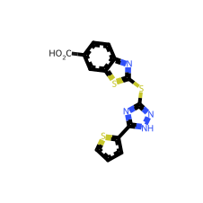 O=C(O)c1ccc2nc(Sc3n[nH]c(-c4cccs4)n3)sc2c1